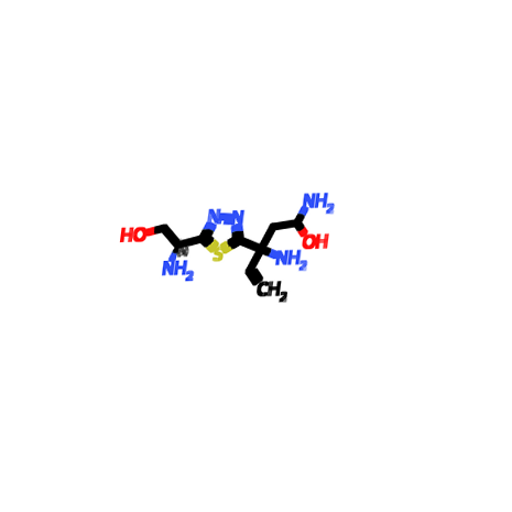 C=CC(N)(CC(N)O)c1nnc([C@@H](N)CO)s1